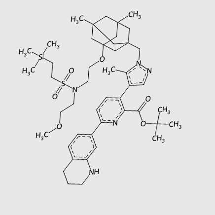 COCCN(CCOC12CC3(C)CC(C)(CC(Cn4ncc(-c5ccc(-c6ccc7c(c6)NCCC7)nc5C(=O)OC(C)(C)C)c4C)(C3)C1)C2)S(=O)(=O)CC[Si](C)(C)C